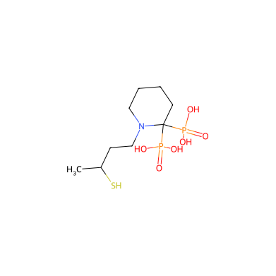 CC(S)CCN1CCCCC1(P(=O)(O)O)P(=O)(O)O